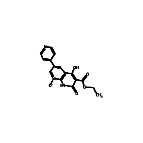 CCOC(=O)c1c(O)c2cc(-c3ccncc3)c[n+]([O-])c2[nH]c1=O